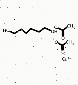 CC(=O)[O-].CC(=O)[O-].OCCCCCCO.[Cu+2]